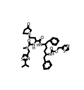 CC(C)c1nc(CN(C)C(=O)NC(CCN2CCC(=O)C2)C(=O)NC(CCC(Cc2ccccc2)NC(=O)OCc2cncs2)Cc2ccccc2)cs1